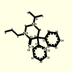 CCCN1CN(C(C)C)CC(c2ccccc2)(c2ccccn2)C1=S